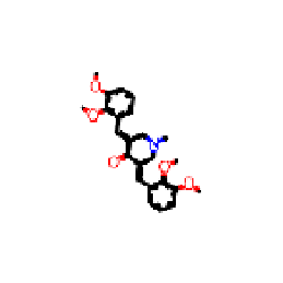 COc1cccc(/C=C2\CN(C)C/C(=C\c3cccc(OC)c3OC)C2=O)c1OC